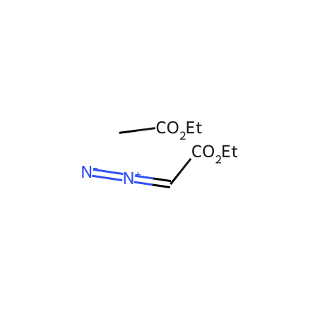 CCOC(=O)C=[N+]=[N-].CCOC(C)=O